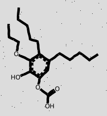 CCCCCc1cc(OC(=O)O)c(O)c(OCCC)c1CCCCC